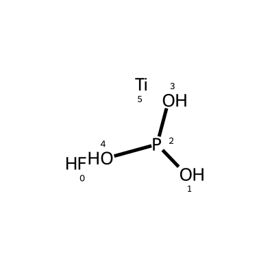 F.OP(O)O.[Ti]